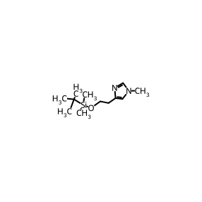 Cn1cnc(CCO[Si](C)(C)C(C)(C)C)c1